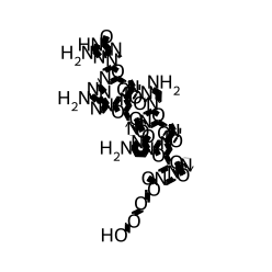 CN1CC(COP(=O)(N(C)C)N2CC(COP(=O)(N(C)C)N3CC(COP(=O)(N(C)C)N4CC(COP(=O)(N(C)C)N5CCN(C(=O)OCCOCCOCCO)CC5)OC(n5ccc(N)nc5=O)C4)OC(n4ccc(N)nc4=O)C3)OC(n3cnc4c(N)ncnc43)C2)OC(n2cnc3c(=O)[nH]c(N)nc32)C1